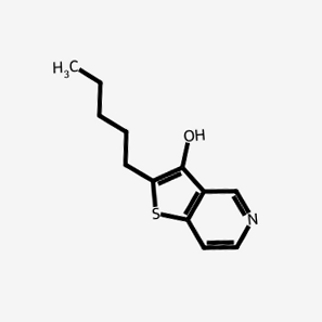 CCCCCc1sc2ccncc2c1O